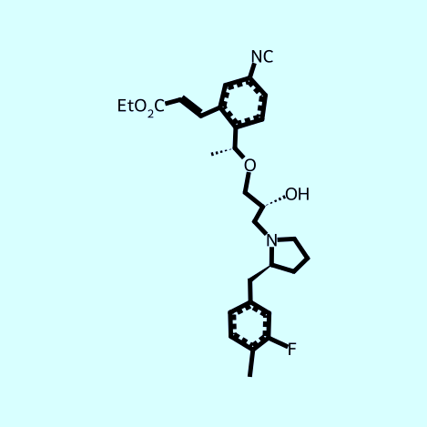 [C-]#[N+]c1ccc([C@@H](C)OC[C@H](O)CN2CCC[C@H]2Cc2ccc(C)c(F)c2)c(/C=C/C(=O)OCC)c1